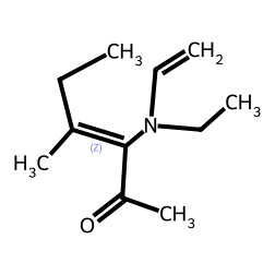 C=CN(CC)/C(C(C)=O)=C(/C)CC